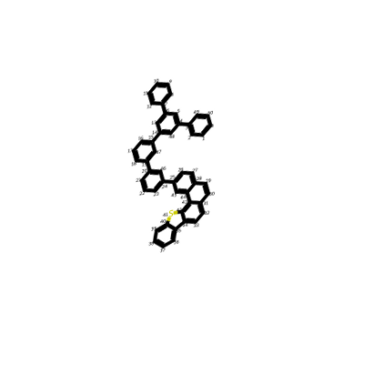 c1ccc(-c2cc(-c3ccccc3)cc(-c3cccc(-c4cccc(-c5ccc6ccc7ccc8c9ccccc9sc8c7c6c5)c4)c3)c2)cc1